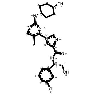 Cc1cnc(N[C@H]2CC[C@H](O)CC2)nc1-n1cnc(C(=O)N[C@H](CO)c2cccc(Cl)c2)c1